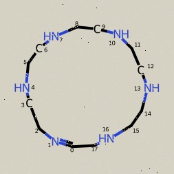 C1=NCCNCCNCCNCCNCCNC1